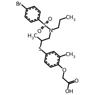 CCCN(CC(C)Sc1ccc(OCC(=O)O)c(C)c1)S(=O)(=O)c1ccc(Br)cc1